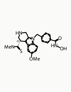 CNC(=S)[C@@H]1CNCc2c1c1cc(OC)ccc1n2Cc1ccc(C(=O)NO)cc1